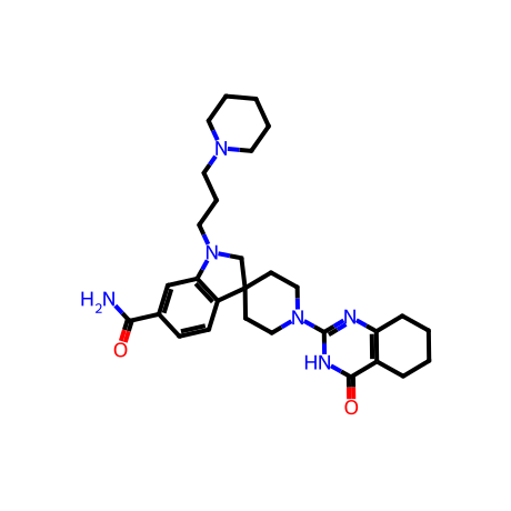 NC(=O)c1ccc2c(c1)N(CCCN1CCCCC1)CC21CCN(c2nc3c(c(=O)[nH]2)CCCC3)CC1